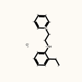 CCc1ccccc1NCC[n+]1ccccc1.[Cl-]